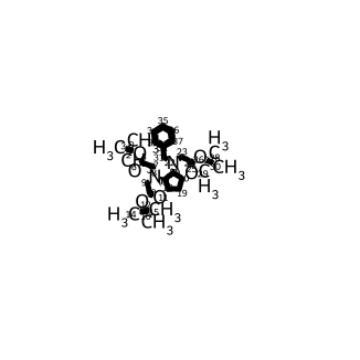 CC(C)(C)OC(=O)CN(CC(=O)OC(C)(C)C)[C@@H]1CCC[C@H]1N(CC(=O)OC(C)(C)C)Cc1ccccc1